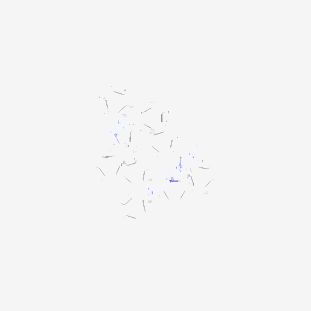 Cn1c(-c2cccc(B(c3ccc4c5ccccc5n(-c5ccccn5)c4c3)c3c(-c4ccccc4)nn(-c4ccccc4)c3-c3ccccc3)c2)nc2ccccc21